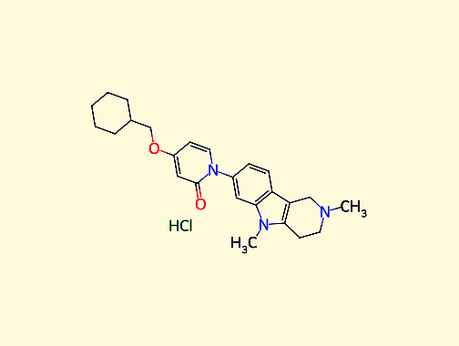 CN1CCc2c(c3ccc(-n4ccc(OCC5CCCCC5)cc4=O)cc3n2C)C1.Cl